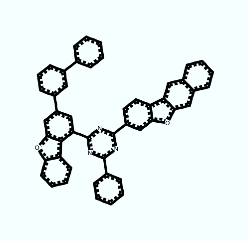 c1ccc(-c2cccc(-c3cc(-c4nc(-c5ccccc5)nc(-c5ccc6c(c5)oc5cc7ccccc7cc56)n4)c4c(c3)oc3ccccc34)c2)cc1